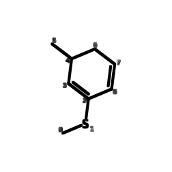 CSC1=CC(C)CC=C1